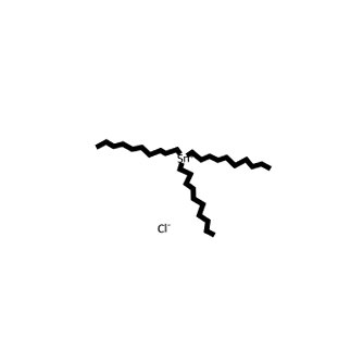 CCCCCCCCC[CH2][Sn+]([CH2]CCCCCCCCC)[CH2]CCCCCCCCC.[Cl-]